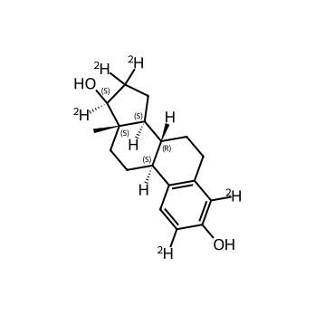 [2H]c1cc2c(c([2H])c1O)CC[C@@H]1[C@@H]2CC[C@@]2(C)[C@H]1CC([2H])([2H])[C@]2([2H])O